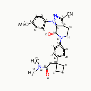 COc1ccc(-n2nc(C#N)c3c2C(=O)N(c2ccc(C4(CC(=O)N(C)C)CCC4)cc2)CC3)cc1